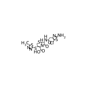 Cc1nnc(SC2=C(C(=O)O)N3C(=O)[C@@H](NC(=O)Cc4nc(N)sc4Cl)[C@H]3SC2)s1